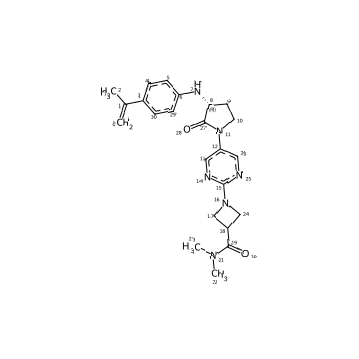 C=C(C)c1ccc(N[C@@H]2CCN(c3cnc(N4CC(C(=O)N(C)C)C4)nc3)C2=O)cc1